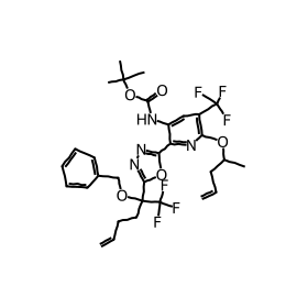 C=CCCC(OCc1ccccc1)(c1nnc(-c2nc(OC(C)CC=C)c(C(F)(F)F)cc2NC(=O)OC(C)(C)C)o1)C(F)(F)F